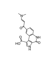 CN(C)C=CC(=O)c1ccc2[nH]c(=O)c3[nH]cc(C(=O)O)c3c2c1